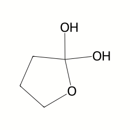 OC1(O)CCCO1